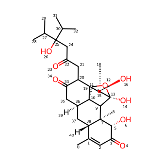 CC1=CC(=O)[C@@H](O)[C@]2(C)C3[C@]45CO[C@]3(O)[C@H](O)[C@H](C)C4C(CC(=O)CC(O)(C(C)C)C(C)C)C(=O)C[C@@H]5C[C@@H]12